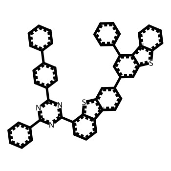 c1ccc(-c2ccc(-c3nc(-c4ccccc4)nc(-c4cccc5c4sc4cc(-c6cc(-c7ccccc7)c7c(c6)sc6ccccc67)ccc45)n3)cc2)cc1